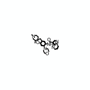 CC1CN(C)CCC12Cc1cc(NC(=O)c3cnn4cccnc34)c(N3CCOCC3)cc1O2